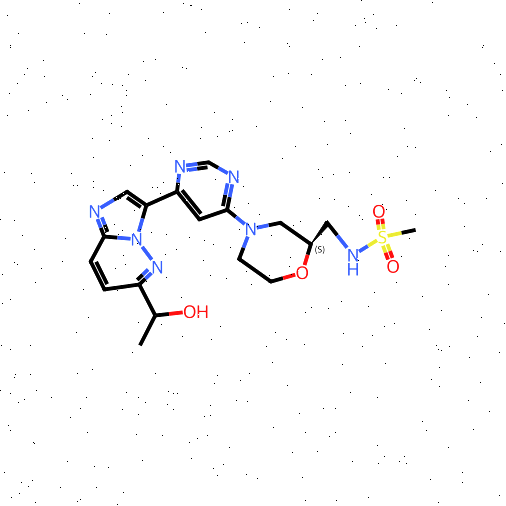 CC(O)c1ccc2ncc(-c3cc(N4CCO[C@H](CNS(C)(=O)=O)C4)ncn3)n2n1